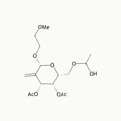 C=C1[C@H](OCCOC)O[C@H](COC(C)O)[C@H](OC(C)=O)[C@@H]1OC(C)=O